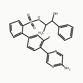 CC(NS(=O)(=O)c1ccccc1-c1ccc(-c2cnc(N)cn2)c(F)c1)C(O)c1ccccc1